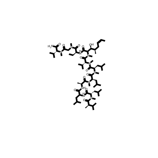 C/C=C\C[C@@H](C)[C@H](O)C(C(=O)N[C@@H](CC)C(=O)N(C)CC(=O)N(C)[C@@H](C(N)=O)C(C)C)N(C)C(=O)[C@@H](C(C)C)N(C)C(=O)[C@@H](CC(C)C)N(C)C(=O)[C@@H](CC(C)C)N(C)C(=O)[C@H](C)NC(=O)C(CC(C)C)NC(=O)[C@H](CC(C)C)N(C)C(=O)[C@H](C)C(C)C